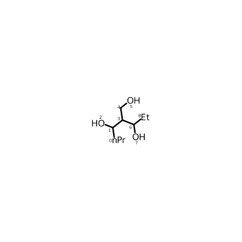 CCCC(O)C(CO)C(O)CC